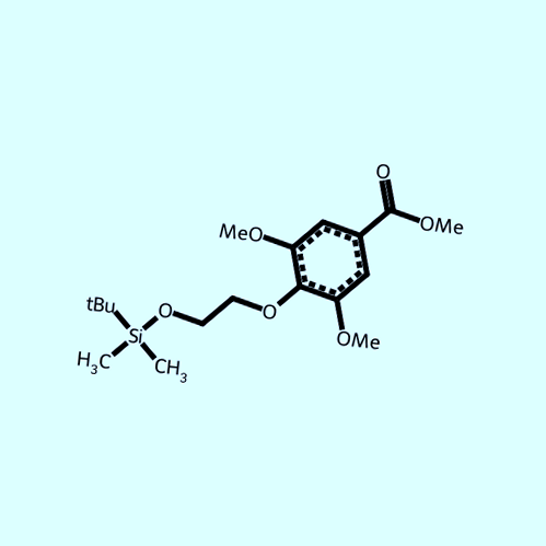 COC(=O)c1cc(OC)c(OCCO[Si](C)(C)C(C)(C)C)c(OC)c1